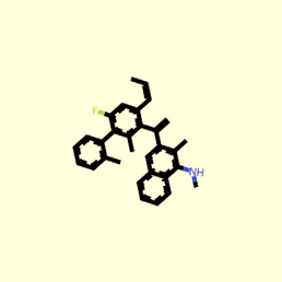 C=C(c1cc2ccccc2c(NC)c1C)c1c(/C=C\C)cc(F)c(-c2ccccc2C)c1C